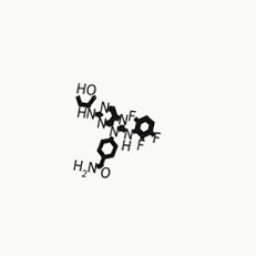 CCC(CO)Nc1ncc2nc(Nc3c(F)ccc(F)c3F)n(C3CCC(C(N)=O)CC3)c2n1